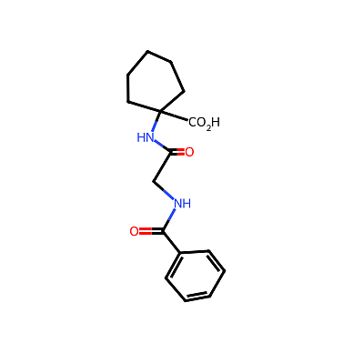 O=C(CNC(=O)c1ccccc1)NC1(C(=O)O)CCCCC1